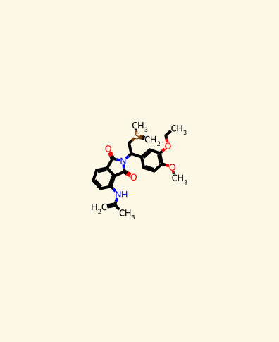 C=C(C)Nc1cccc2c1C(=O)N(C(CS(=C)C)c1ccc(OC)c(OCC)c1)C2=O